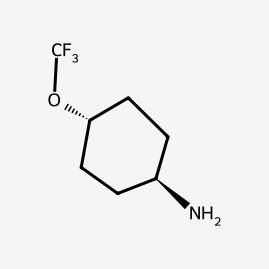 N[C@H]1CC[C@H](OC(F)(F)F)CC1